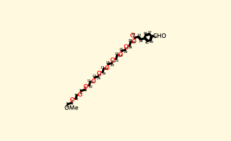 COCCOCCOCCOCCOCCOCCOCCOCCOCCOCCOC(=O)C=Cc1ccc(C=O)cc1